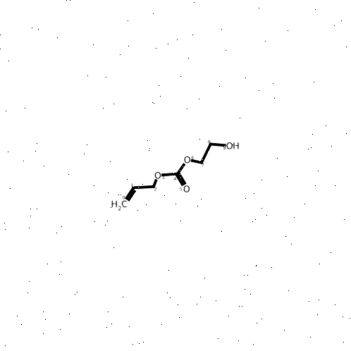 C=CCOC(=O)OCCO